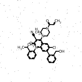 C=CC(=O)N1CCN(c2c(C#N)c(=O)n(-c3ccccc3C(C)C)c3cc(-c4ccccc4CO)c(Cl)cc23)[C@@H](C)C1